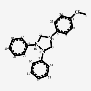 COc1ccc(N2CN(c3ccccc3)N(c3ccccc3)C2)cc1